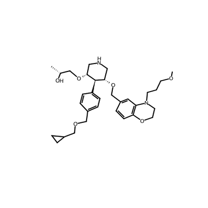 COCCCN1CCOc2ccc(CO[C@H]3CNC[C@@H](OC[C@@H](C)O)[C@@H]3c3ccc(COCC4CC4)cc3)cc21